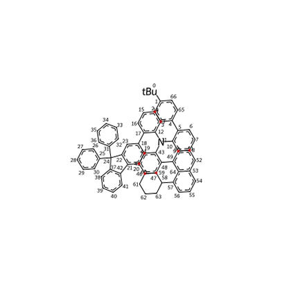 CC(C)(C)c1ccc(-c2ccccc2N(c2ccccc2-c2ccc3c(c2)C(c2ccccc2)(c2ccccc2)c2ccccc2-3)c2ccccc2-c2cccc3cccc(C4CCCCC4)c23)cc1